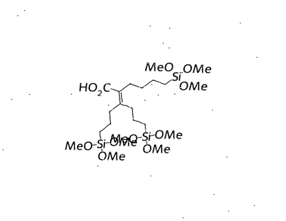 CO[Si](CCCCC(C(=O)O)=C(CCC[Si](OC)(OC)OC)CCC[Si](OC)(OC)OC)(OC)OC